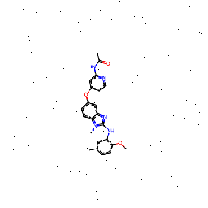 COc1ccc(C)cc1Nc1nc2cc(Oc3ccnc(NC(C)=O)c3)ccc2n1C